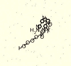 Nc1ccc(-c2ccc3ncc4ccc(=O)n(-c5ccc(N6CCN(C(=O)CCOCCOCCOCCOCCI)CC6)c(C(F)(F)F)c5)c4c3c2)cn1